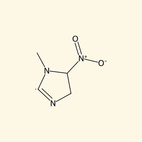 CN1[C]=NCC1[N+](=O)[O-]